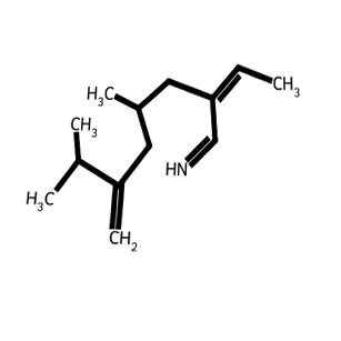 C=C(CC(C)C/C(C=N)=C/C)C(C)C